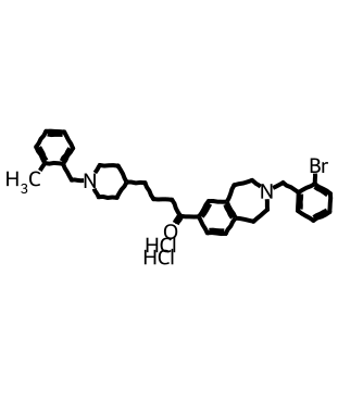 Cc1ccccc1CN1CCC(CCCC(=O)c2ccc3c(c2)CCN(Cc2ccccc2Br)CC3)CC1.Cl.Cl